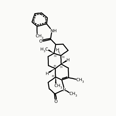 CC1=C2N(C)C(=O)CC[C@]2(C)[C@@H]2CC[C@]3(C)C(C(=O)Nc4ccccc4C)CC[C@H]3[C@@H]2C1